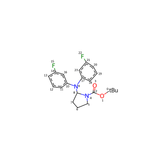 CC(C)(C)OC(=O)N1CCCC1N(c1cccc(F)c1)c1cccc(F)c1